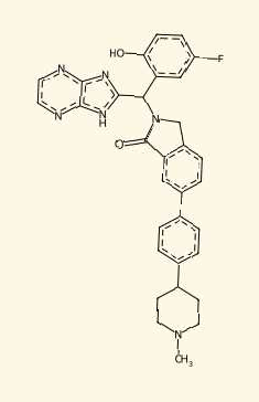 CN1CCC(c2ccc(-c3ccc4c(c3)C(=O)N(C(c3nc5nccnc5[nH]3)c3cc(F)ccc3O)C4)cc2)CC1